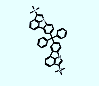 C[Si](C)(C)c1cn2c3ccc(C(c4ccccc4)(c4ccccc4)c4ccc5c(c4)c4cccc6c([Si](C)(C)C)cn5c64)cc3c3cccc1c32